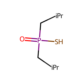 CC(C)CP(=O)(S)CC(C)C